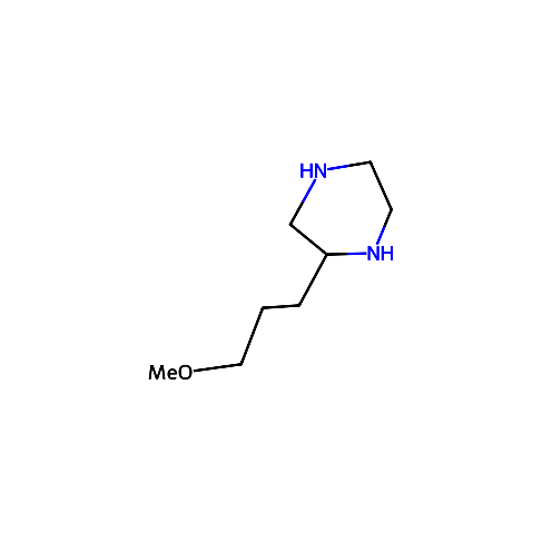 COCCCC1CNCCN1